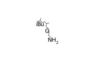 CCC(C)CC(C)CCC(C)CCOCCCN